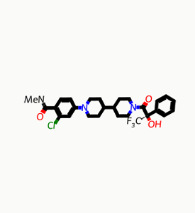 CNC(=O)c1ccc(N2CCC(C3CCN(C(=O)[C@](O)(c4ccccc4)C(F)(F)F)CC3)CC2)cc1Cl